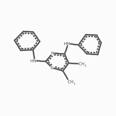 Cc1nc(Nc2ccccc2)nc(Nc2ccccc2)c1C